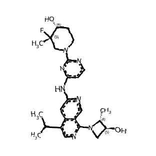 CC(C)c1cnc(N2C[C@H](O)[C@H]2C)c2cnc(Nc3ccnc(N4CC[C@@H](O)[C@@](C)(F)C4)n3)cc12